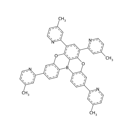 Cc1ccnc(-c2ccc3c(c2)Oc2c(-c4cc(C)ccn4)cc(-c4cc(C)ccn4)c4c2B3c2ccc(-c3cc(C)ccn3)cc2O4)c1